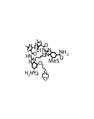 CCc1nc(C)sc1C(=O)Nc1nc2cc(C(N)=O)cc(OCCCN3CCOCC3)c2n1C/C=C/Cn1c(NC(=O)c2sc(C)nc2CC)nc2cc(C(N)=O)cc(SC)c21